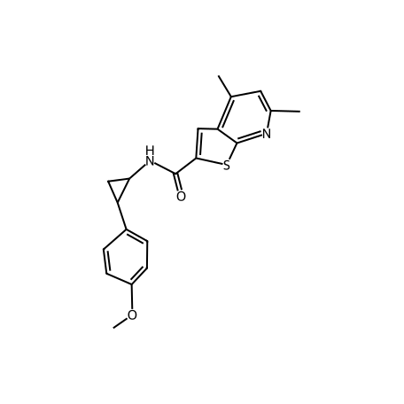 COc1ccc(C2CC2NC(=O)c2cc3c(C)cc(C)nc3s2)cc1